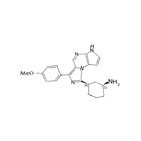 COc1ccc(-c2nc([C@@H]3CCC[C@H](N)C3)n3c2cnc2[nH]ccc23)cc1